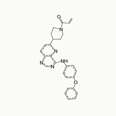 C=CC(=O)N1CCC(c2ccc3ncnc(Nc4ccc(Oc5ccccc5)cc4)c3n2)CC1